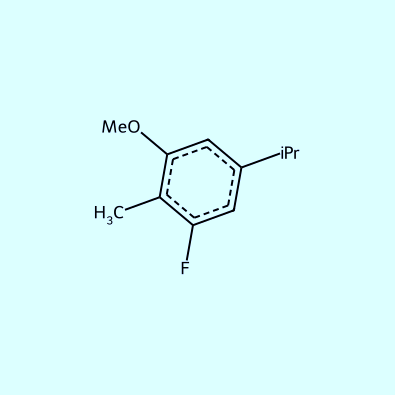 COc1cc(C(C)C)cc(F)c1C